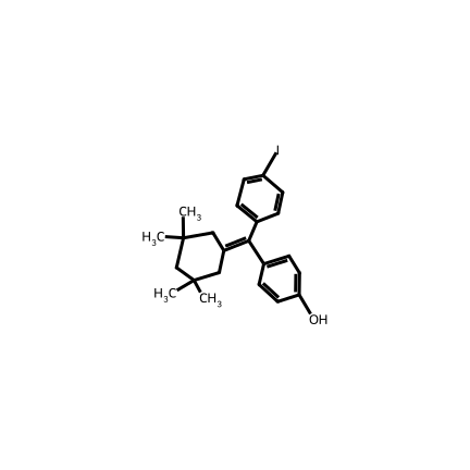 CC1(C)CC(=C(c2ccc(O)cc2)c2ccc(I)cc2)CC(C)(C)C1